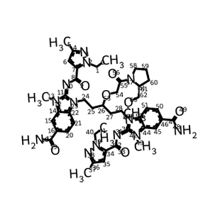 CCn1nc(C)cc1C(=O)N=c1n(C)c2cc(C(N)=O)ccc2n1CCC(CCn1c(=NC(=O)c2cc(C)nn2CC)n(C)c2cc(C(N)=O)ccc21)OCC(=O)N1CCC[C@H]1COC